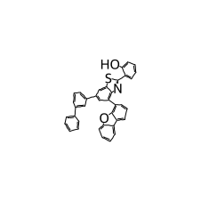 Oc1ccccc1-c1nc2c(-c3cccc4c3oc3ccccc34)cc(-c3cccc(-c4ccccc4)c3)cc2s1